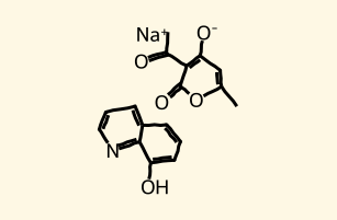 CC(=O)c1c([O-])cc(C)oc1=O.Oc1cccc2cccnc12.[Na+]